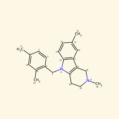 Cc1ccc(Cn2c3c(c4cc(C)ccc42)CN(C)CC3)c(C)c1